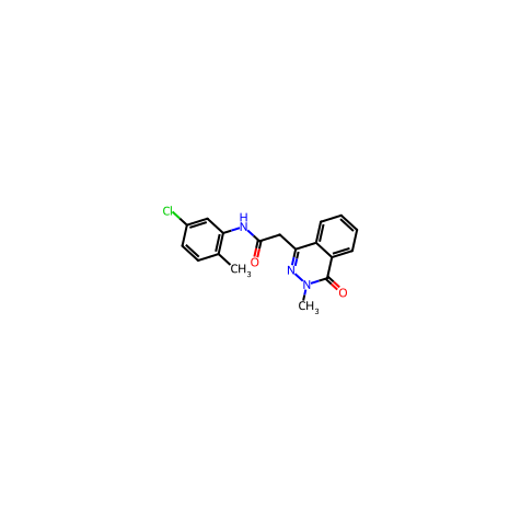 Cc1ccc(Cl)cc1NC(=O)Cc1nn(C)c(=O)c2ccccc12